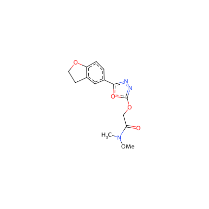 CON(C)C(=O)COc1nnc(-c2ccc3c(c2)CCO3)o1